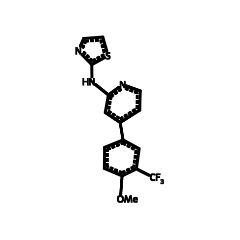 COc1ccc(-c2ccnc(Nc3nccs3)c2)cc1C(F)(F)F